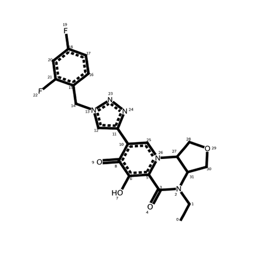 CCN1C(=O)c2c(O)c(=O)c(-c3cn(Cc4ccc(F)cc4F)nn3)cn2C2COCC21